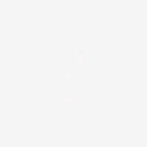 C[C@@H](O)CCOCCO[Si](C)(C)C(C)(C)C